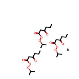 CCCC(=O)CC(=O)OOC(C)C.CCCC(=O)CC(=O)OOC(C)C.CCCC(=O)CC(=O)OOC(C)C.[Zr]